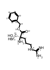 Br.N=C(N)NCCC[C@](N)(C(=O)O)C(=O)OCc1ccccc1